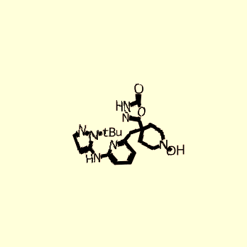 CC(C)(C)n1nccc1Nc1cccc(CC2(c3n[nH]c(=O)o3)CCN(O)CC2)n1